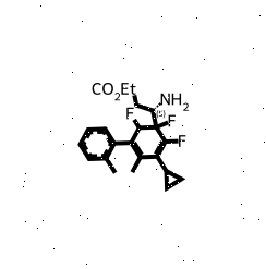 CCOC(=O)C[C@H](N)C1(F)C(F)=C(C2CC2)C(C)=C(c2ccccc2C)C1F